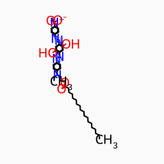 CCCCCCCCCCCCCCCCCCC(=O)OCCN(CC)c1ccc(/N=N/c2cc(O)c(/N=N/c3ccc([N+](=O)[O-])cc3)cc2O)cc1